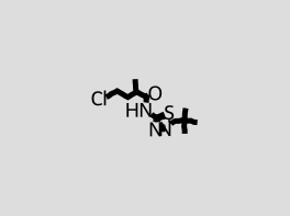 CC(CCCl)C(=O)Nc1nnc(C(C)(C)C)s1